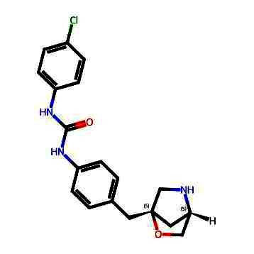 O=C(Nc1ccc(Cl)cc1)Nc1ccc(C[C@]23CN[C@H](CO2)C3)cc1